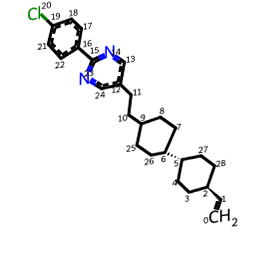 C=C[C@H]1CC[C@H](C2CCC(CCc3cnc(-c4ccc(Cl)cc4)nc3)CC2)CC1